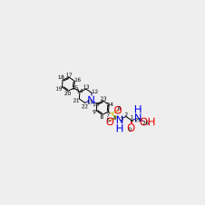 O=C(CNS(=O)(=O)c1ccc(N2CCC(c3ccccc3)CC2)cc1)NO